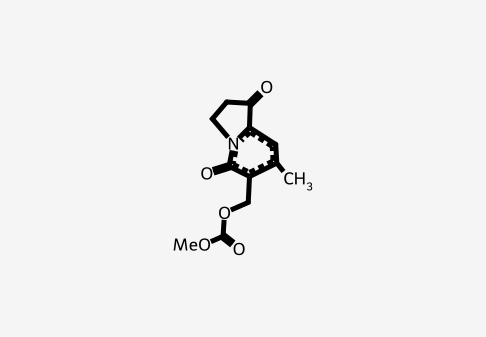 COC(=O)OCc1c(C)cc2n(c1=O)CCC2=O